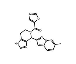 Cc1ccc2cc(C3c4nc[nH]c4CCN3C(=O)c3cnco3)nn2c1